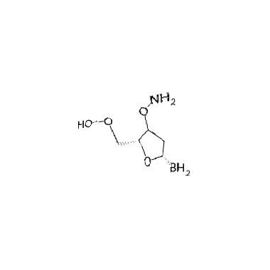 B[C@H]1CC(ON)[C@@H](COO)O1